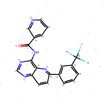 O=C(Nc1ncnc2ccc(-c3cccc(C(F)(F)F)c3)nc12)c1cccnc1